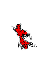 CC(C)(C)c1ccc(N(c2cc3c4c(ccc5cccc(c54)C3(C)C)c2)c2ccc3ccc4c(N(c5ccccc5-c5ccccc5)c5cccc6c5oc5ccc(-c7ccc(N(c8cc9c%10c(ccc%11cccc(c%11%10)C9(C)C)c8)c8ccc9ccc%10c(N(c%11ccccc%11)c%11c(F)cc(-c%12ccccc%12)cc%11-c%11ccccc%11)ccc%11ccc8c9c%11%10)c(-c8ccccc8)c7)cc56)ccc5ccc2c3c54)cc1